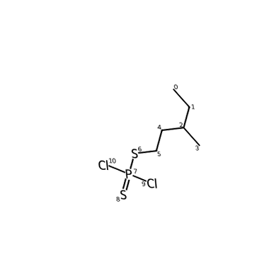 CCC(C)CCSP(=S)(Cl)Cl